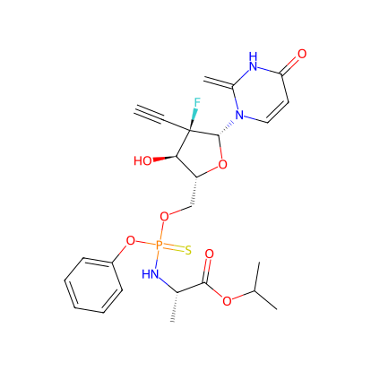 C#C[C@@]1(F)[C@H](O)[C@@H](COP(=S)(N[C@@H](C)C(=O)OC(C)C)Oc2ccccc2)O[C@H]1N1C=CC(=O)NC1=C